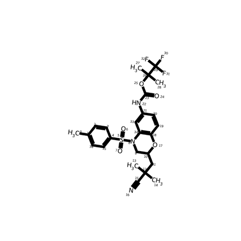 Cc1ccc(S(=O)(=O)N2CC(CC(C)(C)C#N)Oc3ccc(NC(=O)OC(C)(C)C(F)(F)F)cc32)cc1